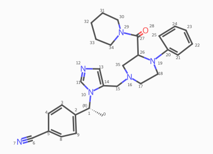 C[C@H](c1ccc(C#N)cc1)n1cncc1CN1CCN(c2ccccc2)C(C(=O)N2CCCCC2)C1